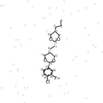 CCC[C@H]1CO[C@H](CC[C@H]2CO[C@H](c3ccc(Cl)c(F)c3)OC2)OC1